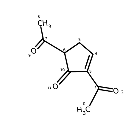 CC(=O)C1=CCC(C(C)=O)C1=O